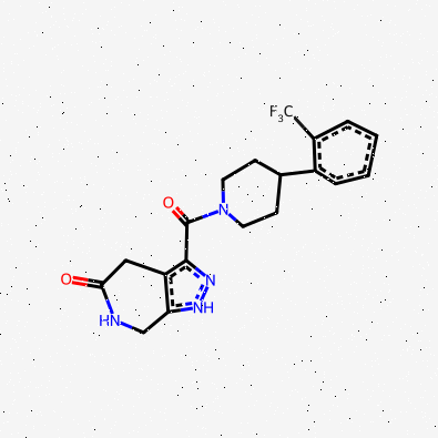 O=C1Cc2c(C(=O)N3CCC(c4ccccc4C(F)(F)F)CC3)n[nH]c2CN1